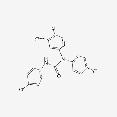 O=C(Nc1ccc(Cl)cc1)N(c1ccc(Cl)cc1)c1ccc(Cl)c(Cl)c1